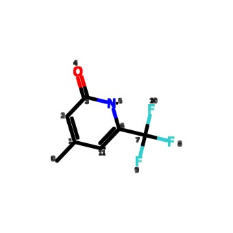 CC1=CC(=O)[N]C(C(F)(F)F)=[C]1